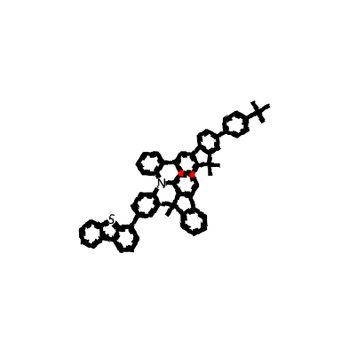 CC(C)(C)c1ccc(-c2ccc3c(c2)C(C)(C)c2ccc(-c4ccccc4N(c4ccc(-c5cccc6c5sc5ccccc56)cc4)c4cccc5c4C(C)(C)c4ccccc4-5)cc2-3)cc1